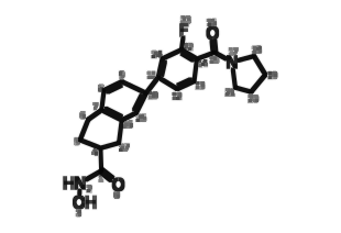 O=C(NO)C1CCc2ccc(-c3ccc(C(=O)N4CCCC4)c(F)c3)cc2C1